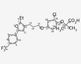 CCc1oc(-c2ccc(C(F)(F)F)cc2)cc1CCCOc1ccc(OC(C)(C)C(=O)O)c(Cl)c1